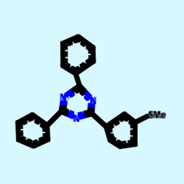 CSc1cccc(-c2nc(-c3ccccc3)nc(-c3ccccc3)n2)c1